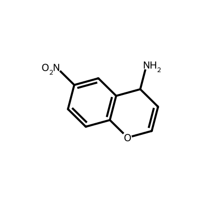 NC1C=COc2ccc([N+](=O)[O-])cc21